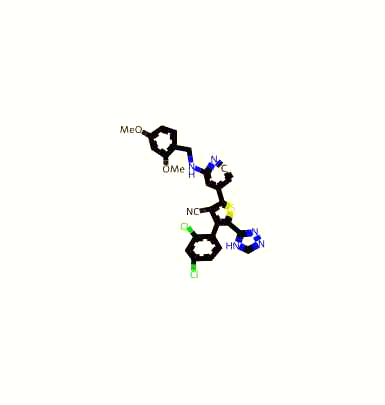 COc1ccc(CNc2cc(-c3sc(-c4nnc[nH]4)c(-c4ccc(Cl)cc4Cl)c3C#N)ccn2)c(OC)c1